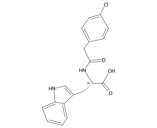 O=C(Cc1ccc(Cl)cc1)N[C@@H](Cc1c[nH]c2ccccc12)C(=O)O